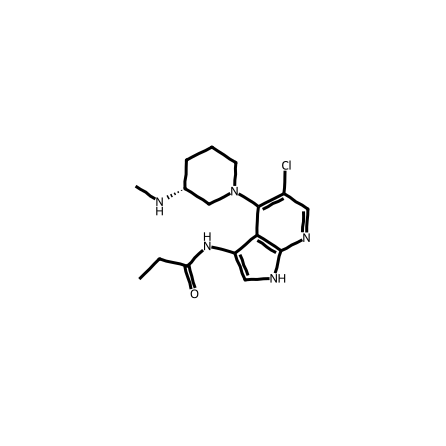 CCC(=O)Nc1c[nH]c2ncc(Cl)c(N3CCC[C@@H](NC)C3)c12